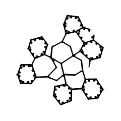 Oc1ccc2oc3cccc4c3c2c1C12CC3CC5(CC6CC(CC4C1)(c1ccccc1-c1ccccc16)C52)c1ccccc1-c1ccccc13